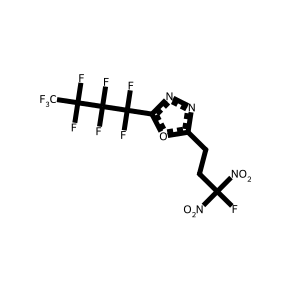 O=[N+]([O-])C(F)(CCc1nnc(C(F)(F)C(F)(F)C(F)(F)C(F)(F)F)o1)[N+](=O)[O-]